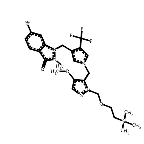 COc1cnn(COCC[Si](C)(C)C)c1Cn1cc(Cn2c3cc(Br)ccc3c(=O)n2C)c(C(F)(F)F)c1